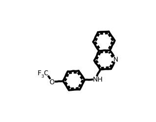 FC(F)(F)Oc1ccc(Nc2cnc3ccccc3c2)cc1